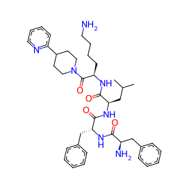 CC(C)C[C@@H](NC(=O)[C@@H](Cc1ccccc1)NC(=O)[C@H](N)Cc1ccccc1)C(=O)N[C@H](CCCCN)C(=O)N1CCC(c2ccccn2)CC1